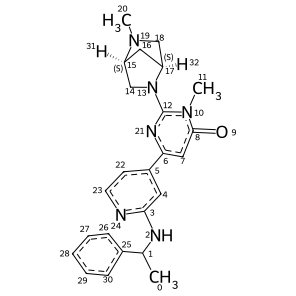 CC(Nc1cc(-c2cc(=O)n(C)c(N3C[C@@H]4C[C@H]3CN4C)n2)ccn1)c1ccccc1